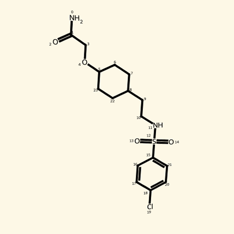 NC(=O)COC1CCC(CCNS(=O)(=O)c2ccc(Cl)cc2)CC1